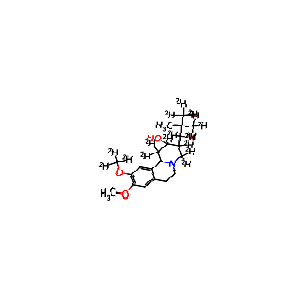 [2H]C([2H])([2H])Oc1cc2c(cc1OC)CCN1C2C([2H])([2H])C([2H])(O)C([2H])(C([2H])([2H])C(C)(C([2H])([2H])[2H])C([2H])([2H])[2H])C1([2H])[2H]